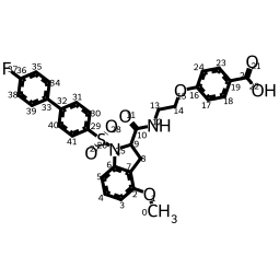 COc1cccc2c1CC(C(=O)NCCOc1ccc(C(=O)O)cc1)N2S(=O)(=O)c1ccc(-c2ccc(F)cc2)cc1